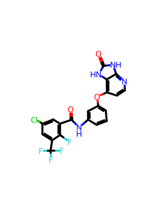 O=C(Nc1cccc(Oc2ccnc3[nH]c(=O)[nH]c23)c1)c1cc(Cl)cc(C(F)(F)F)c1F